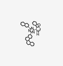 C1=Cc2oc3ccccc3c2C(c2nc(-c3ccc4ccccc4c3)nc(-c3ccc4c(ccc5ccc6ccccc6c54)c3)n2)N1